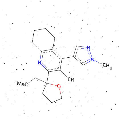 COCC1(c2nc3c(c(-c4cnn(C)c4)c2C#N)CCCC3)CCCO1